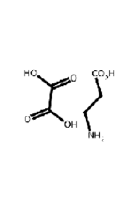 NCCC(=O)O.O=C(O)C(=O)O